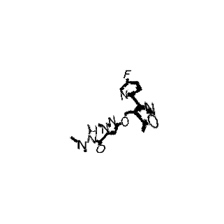 Cc1onc(-c2ccc(F)cn2)c1COc1cc(C(=O)NN(C)C)n(C)n1